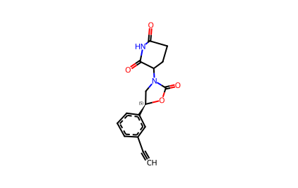 C#Cc1cccc([C@H]2CN(C3CCC(=O)NC3=O)C(=O)O2)c1